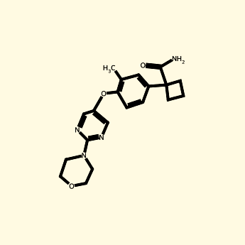 Cc1cc(C2(C(N)=O)CCC2)ccc1Oc1cnc(N2CCOCC2)nc1